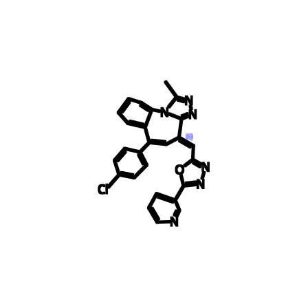 Cc1nnc2n1-c1ccccc1C(c1ccc(Cl)cc1)=C/C2=C\c1nnc(-c2cccnc2)o1